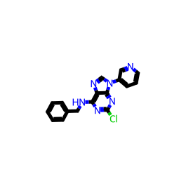 Clc1nc(NCc2ccccc2)c2ncn(-c3cccnc3)c2n1